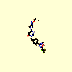 CON=C1CN(c2cc(=O)n(Cc3ccc(-c4noc(C(F)(F)F)n4)cc3)cn2)C1